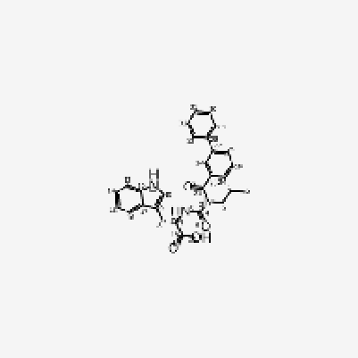 CCCN(C(=O)N[C@@H](Cc1c[nH]c2ccccc12)C(=O)O)C(=O)c1cccc(-c2ccccc2)c1